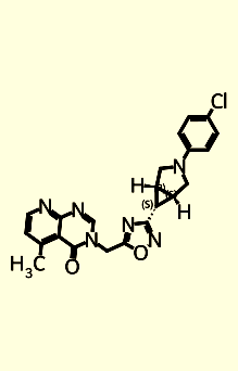 Cc1ccnc2ncn(Cc3nc([C@@H]4[C@@H]5CN(c6ccc(Cl)cc6)C[C@@H]54)no3)c(=O)c12